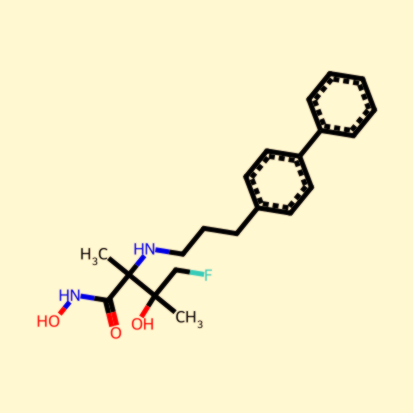 CC(O)(CF)C(C)(NCCCc1ccc(-c2ccccc2)cc1)C(=O)NO